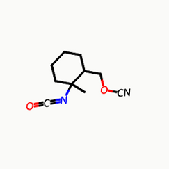 CC1(N=C=O)CCCCC1COC#N